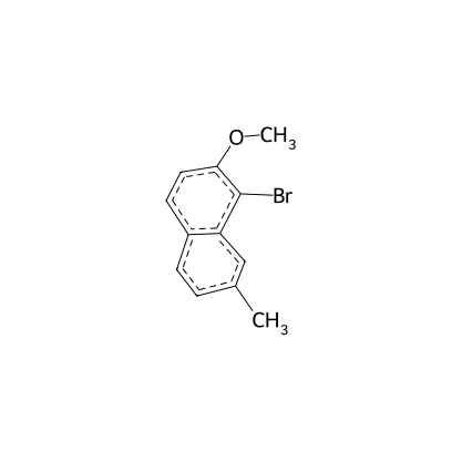 COc1ccc2ccc(C)cc2c1Br